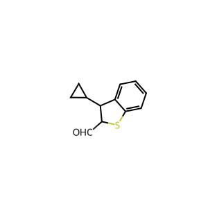 O=CC1Sc2ccccc2C1C1CC1